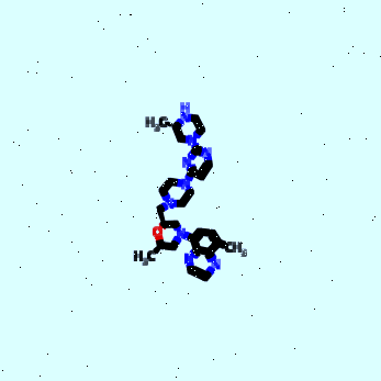 Cc1ccc(N2C[C@H](CN3CCN(c4ccnc(N5CCN[C@@H](C)C5)n4)CC3)O[C@H](C)C2)c2nccnc12